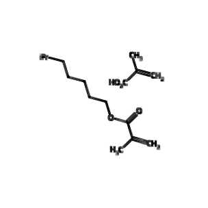 C=C(C)C(=O)O.C=C(C)C(=O)OCCCCCC(C)C